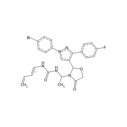 C=C/C=C/NC(=O)NC(C)N1C(=O)COC1c1cn(-c2ccc(Br)cc2)nc1-c1ccc(F)cc1